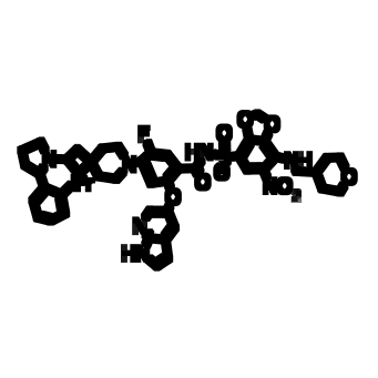 CC(C)c1ccccc1C1CCCN1C1CC2(CCN(c3cc(Oc4cnc5[nH]ccc5c4)c(C(=O)NS(=O)(=O)c4cc([N+](=O)[O-])c(NCC5CCOCC5)c5c4OCO5)cc3F)CC2)C1